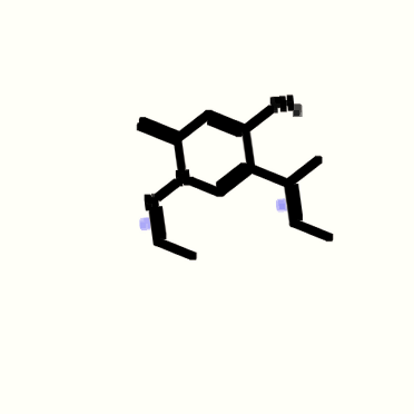 C=C1C=C(P)C(/C(C)=C/C)=CN1/N=C\C